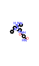 CNC(=O)C1CCC(C(=O)Nc2ccc(-n3c(-c4cccnc4N)nc4ccc(-c5ccccc5)nc43)c(C)n2)CC1